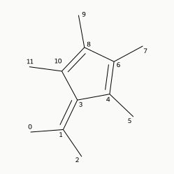 CC(C)=C1C(C)=C(C)C(C)=C1C